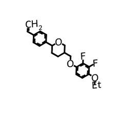 C=Cc1ccc(C2CCC(COc3ccc(OCC)c(F)c3F)CO2)cc1